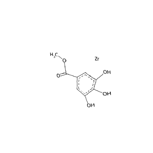 COC(=O)c1cc(O)c(O)c(O)c1.[Zr]